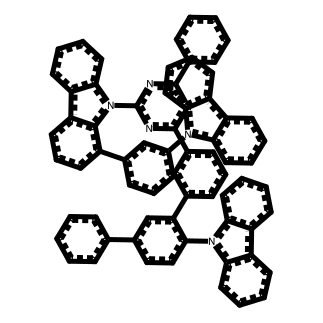 c1ccc(-c2ccc(-n3c4ccccc4c4ccccc43)c(-c3cccc(-c4nc(-c5ccccc5)nc(-n5c6ccccc6c6cccc(-c7cccc(-n8c9ccccc9c9ccccc98)c7)c65)n4)c3)c2)cc1